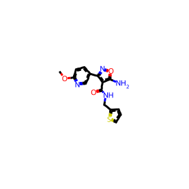 COc1ccc(-c2noc(N)c2C(=O)NCc2cccs2)cn1